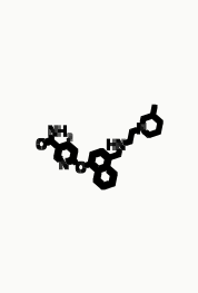 CC1CCCN(CCNCc2ccc(Oc3ccc(C(N)=O)cn3)c3ccccc23)C1